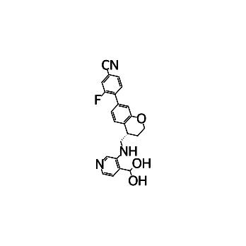 N#Cc1ccc(-c2ccc3c(c2)OCC[C@@H]3CNc2cnccc2C(O)O)c(F)c1